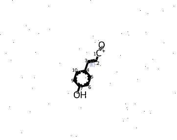 O=[C+]/C=C/c1ccc(O)cc1